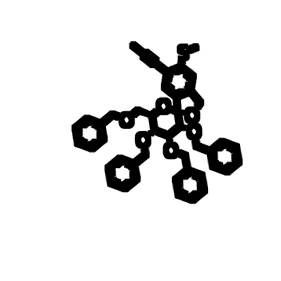 CC#Cc1cc2c(cc1SC)CO[C@]21O[C@H](COCc2ccccc2)[C@@H](OCc2ccccc2)[C@H](OCc2ccccc2)[C@H]1OCc1ccccc1